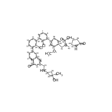 COc1nc(-c2cccc(-c3cccc(-c4ccn5c(=O)cc(CNC6CC(C)(O)C6)nc5c4)c3Cl)c2Cl)ccc1CN(C[C@@H]1CCC(=O)N1)C(=O)O